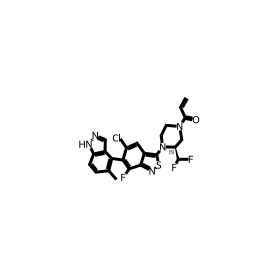 C=CC(=O)N1CCN(c2snc3c(F)c(-c4c(C)ccc5[nH]ncc45)c(Cl)cc23)[C@H](C(F)F)C1